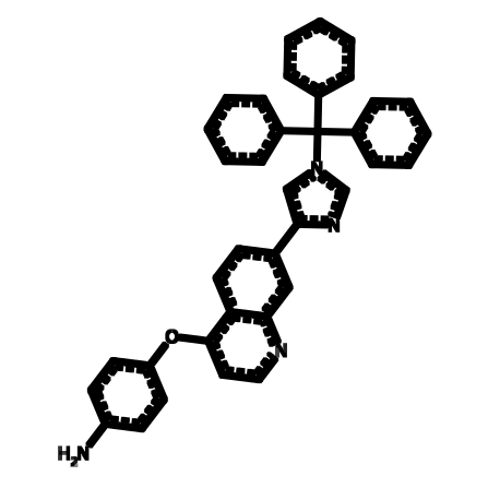 Nc1ccc(Oc2ccnc3cc(-c4cn(C(c5ccccc5)(c5ccccc5)c5ccccc5)cn4)ccc23)cc1